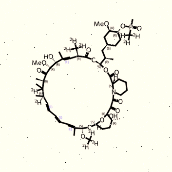 [2H]C([2H])([2H])O[C@H]1C[C@@H]2CC[C@@H](C)[C@@](O)(O2)C(=O)C(=O)N2CCCC[C@H]2C(=O)O[C@H]([C@H](C)C[C@@H]2CC[C@@H](OP(C)(=O)C([2H])([2H])[2H])[C@H](OC)C2)CC(=O)[C@H](C([2H])([2H])[2H])/C=C(\C)[C@@H](O)[C@@H](OC)C(=O)[C@H](C)C([2H])(C)[C@]([2H])(C)/C=C/C=C/C=C/1C